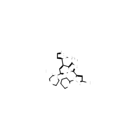 Cc1cc(-c2nc(C)c3c(-c4ccnn4C)cc(N4CCOC[C@H]4C)nn23)n(C2CCCCO2)n1